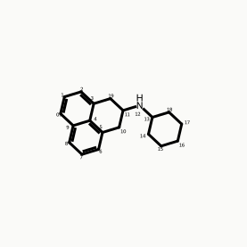 [c]1ccc2c3c(cccc13)CC(NC1CCCCC1)C2